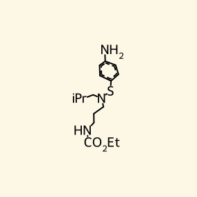 CCOC(=O)NCCCN(CC(C)C)Sc1ccc(N)cc1